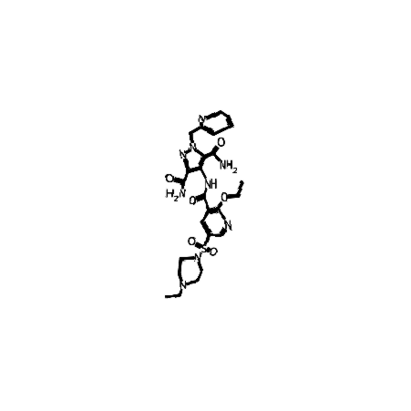 CCOc1ncc(S(=O)(=O)N2CCN(CC)CC2)cc1C(=O)Nc1c(C(N)=O)nn(Cc2ccccn2)c1C(N)=O